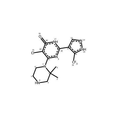 CC1(C)CNCCN1c1nc(-c2cn[nH]c2C(F)(F)F)[nH]c(=O)c1Cl